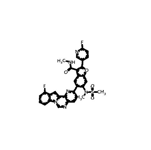 CNC(=O)c1c(-c2ccc(F)nc2)oc2cc(N(C)S(C)(=O)=O)c(-c3ccc4ncn5c6cccc(F)c6cc5c4n3)cc12